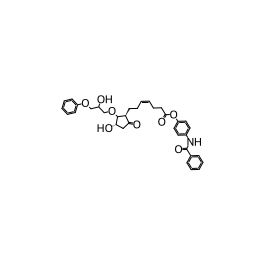 O=C(CC/C=C\CC[C@H]1C(=O)C[C@H](O)[C@H]1OCC(O)COc1ccccc1)Oc1ccc(NC(=O)c2ccccc2)cc1